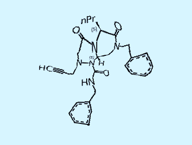 C#CCN1CC(=O)N2[C@@H](CCC)C(=O)N(Cc3ccccc3)C[C@@H]2N1C(=O)NCc1ccccc1